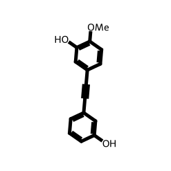 COc1ccc(C#Cc2cccc(O)c2)cc1O